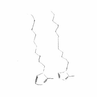 CCCCCCCCCCn1ccnc1C.CCCCCCCCCCn1ccnc1C.Cl.Cl